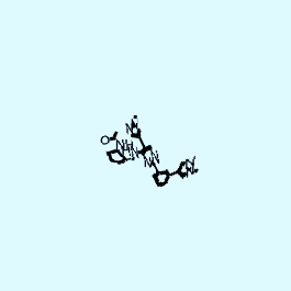 CC(=O)NC1CCC[C@@H]1CNc1nc(-c2cccc(-c3cnn(C)c3)c2)ncc1-c1cnn(C)c1